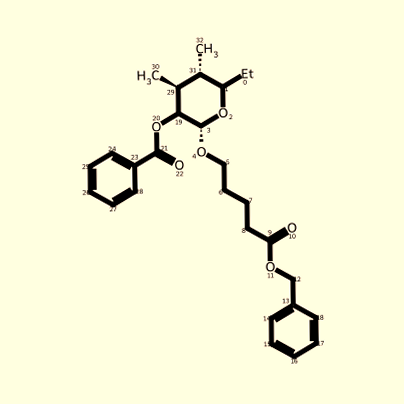 CCC1O[C@H](OCCCCC(=O)OCc2ccccc2)C(OC(=O)c2ccccc2)[C@@H](C)[C@@H]1C